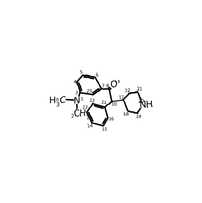 CN(C)c1cccc(C(=O)C(c2ccccc2)C2CCNCC2)c1